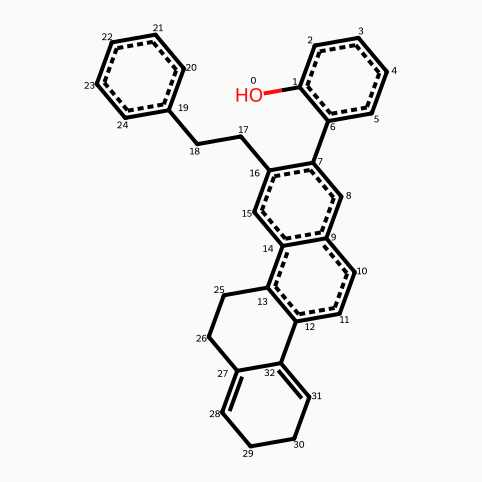 Oc1ccccc1-c1cc2ccc3c(c2cc1CCc1ccccc1)CCC1=CCCC=C13